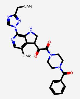 COCc1ncn(-c2ncc(OC)c3c2NCC3C(=O)C(=O)N2CCN(C(=O)c3ccccc3)CC2)n1